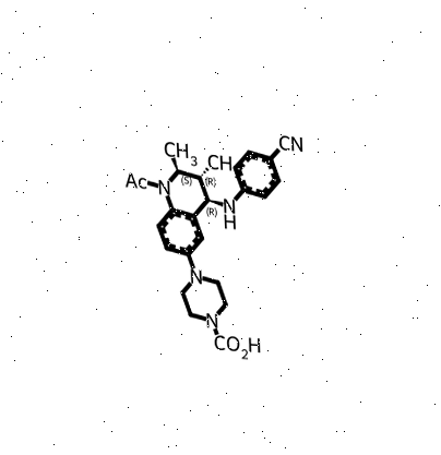 CC(=O)N1c2ccc(N3CCN(C(=O)O)CC3)cc2[C@H](Nc2ccc(C#N)cc2)[C@@H](C)[C@@H]1C